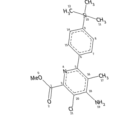 COC(=O)c1nc(-c2ccc([Si](C)(C)C)cc2)c(C)c(N)c1Cl